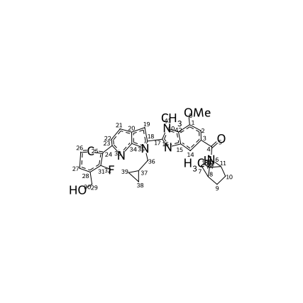 COc1cc(C(=O)N2CC3CCC2[C@@H]3C)cc2nc(-c3cc4ccc(-c5cccc(CO)c5F)nc4n3CC3CC3)n(C)c12